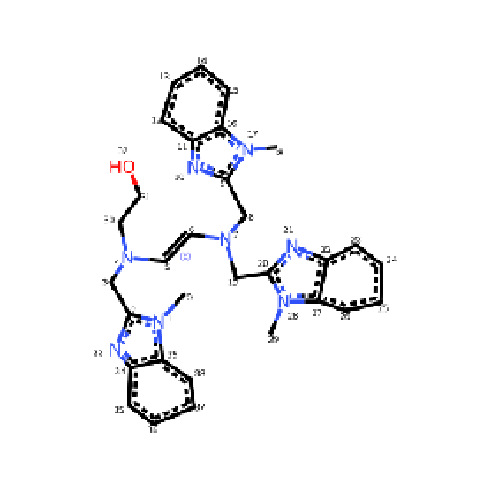 Cn1c(CN(/C=C/N(Cc2nc3ccccc3n2C)Cc2nc3ccccc3n2C)CCO)nc2ccccc21